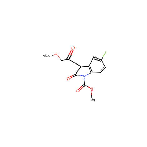 CCCCCCCCCCOCC(=O)C1C(=O)N(C(=O)OC(C)(C)C)c2ccc(F)cc21